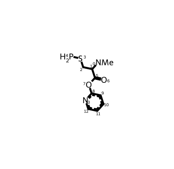 CNC(CSP)C(=O)Oc1ccccn1